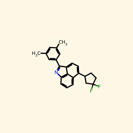 Cc1cc(C)cc(C2=Nc3cccc4c(C5CCC(F)(F)C5)ccc2c34)c1